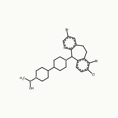 CB(O)N1CCC(C2CCN(C3c4ccc(Cl)c(Br)c4CCc4cc(Br)cnc43)CC2)CC1